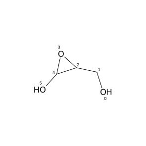 OCC1OC1O